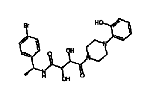 C[C@H](NC(=O)C(O)C(O)C(=O)N1CCN(c2ccccc2O)CC1)c1ccc(Br)cc1